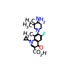 Cc1c(N2CC[C@H](N)C(C)(C)C2)c(F)cc2c(=O)c(C(=O)O)cn(C3CC3)c12